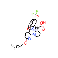 CCCOc1ccc(C(=O)N[C@@H]2C3CC4C[C@H]2C[C@](OC(F)F)(C4)C3)c(N2CCC[C@@H](CC(=O)O)C2)n1